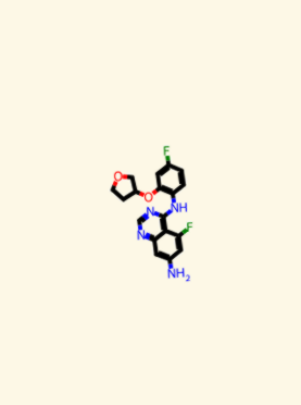 Nc1cc(F)c2c(Nc3ccc(F)cc3OC3CCOC3)ncnc2c1